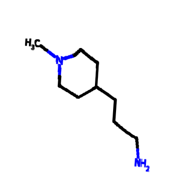 CN1CCC(CCCN)CC1